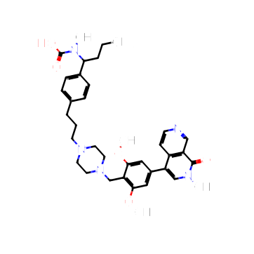 CCCC(c1ccc(CCCN2CCN(Cc3c(OC)cc(-c4cn(C)c(=O)c5cnccc45)cc3OC)CC2)cc1)N(C)C(=O)O